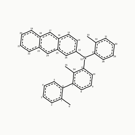 Cc1ccccc1-c1cccc(N(c2ccc3cc4ccccc4cc3c2)c2ccccc2C)c1C